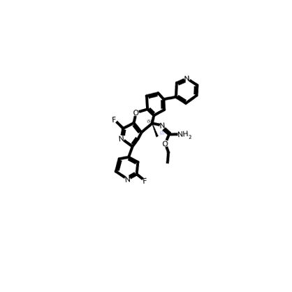 CCO/C(N)=N\[C@@]1(C)c2cc(-c3cccnc3)ccc2Oc2c1cc(-c1ccnc(F)c1)nc2F